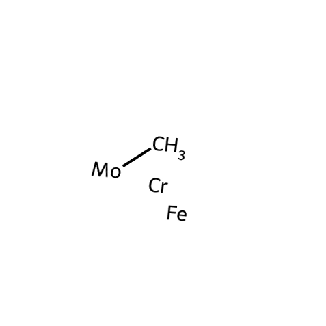 [CH3][Mo].[Cr].[Fe]